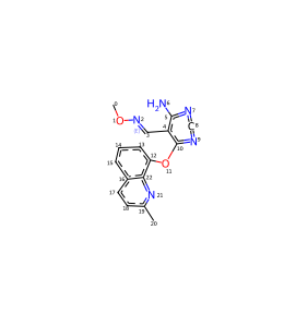 CO/N=C/c1c(N)ncnc1Oc1cccc2ccc(C)nc12